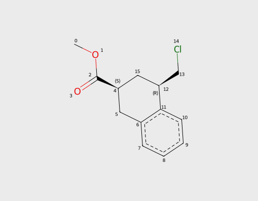 COC(=O)[C@@H]1Cc2ccccc2[C@H](CCl)C1